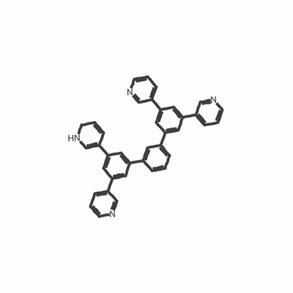 C1=CC(c2cc(-c3cccnc3)cc(-c3cccc(-c4cc(-c5cccnc5)cc(-c5cccnc5)c4)c3)c2)=CNC1